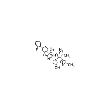 Cc1cc([C@@H](C(=O)N2C[C@H](O)C[C@@H]2C2=NC(=O)[C@](C)(c3ccc(-c4ccccc4F)cc3)N2)C(C)C)on1